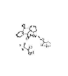 O=C(O)C(F)(F)F.O=C1c2ccccc2C(=O)c2c(NCCOC(=O)C3CCCN3)cccc21